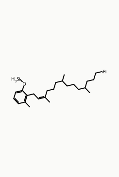 CC(=CCc1c(C)cccc1O[SiH3])CCCC(C)CCCC(C)CCCC(C)C